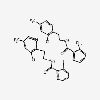 O=C(NCCc1ncc(C(F)(F)F)cc1Cl)c1ccccc1C(F)(F)F.O=C(NCCc1ncc(C(F)(F)F)cc1Cl)c1ccccc1I